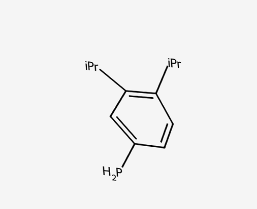 CC(C)c1ccc(P)cc1C(C)C